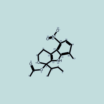 CCC(C)C1(OC(C)=O)OCCc2c1[nH]c1c(C)ccc([N+](=O)[O-])c21